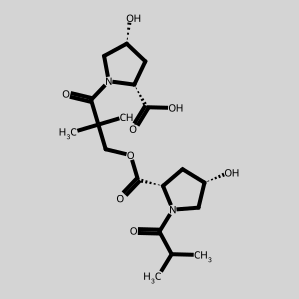 CC(C)C(=O)N1C[C@@H](O)C[C@H]1C(=O)OCC(C)(C)C(=O)N1C[C@H](O)C[C@@H]1C(=O)O